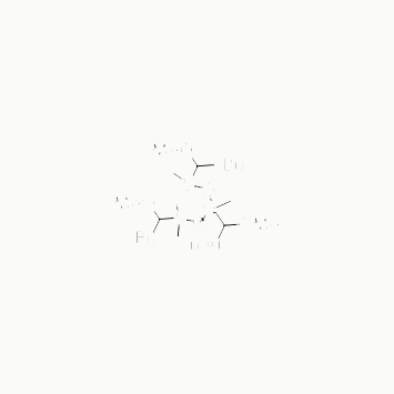 CCCCC(OC)[Si]1(C)O[Si](C)(C(CCCC)OC)O[Si](C)(C(CCCC)OC)O1